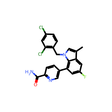 Cc1cn(Cc2ccc(Cl)cc2Cl)c2c(-c3ccc(C(N)=O)nc3)cc(F)cc12